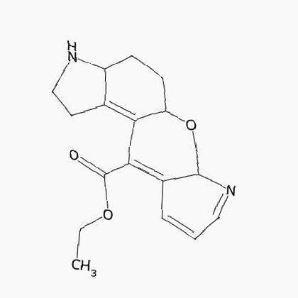 CCOC(=O)C1=C2C=CC=NC2OC2CCC3NCCC3=C12